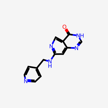 O=c1[nH]cnc2cc(NCc3ccncc3)ncc12